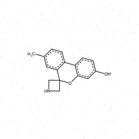 Cc1ccc2c(c1)C1(CNC1)Oc1cc(O)ccc1-2